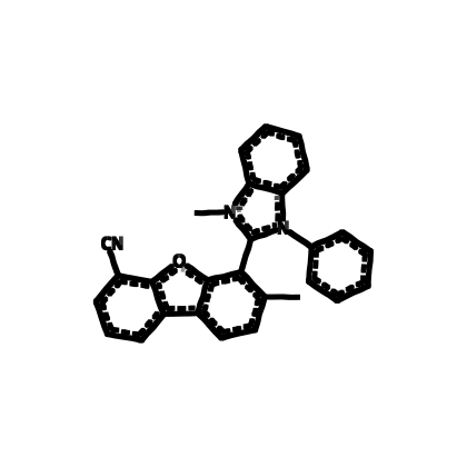 Cc1ccc2c(oc3c(C#N)cccc32)c1-c1n(-c2ccccc2)c2ccccc2[n+]1C